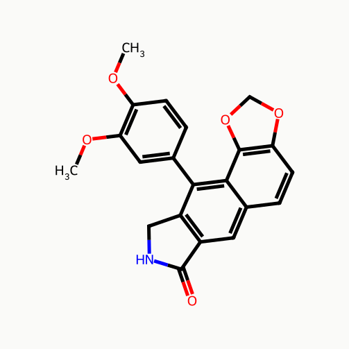 COc1ccc(-c2c3c(cc4ccc5c(c24)OCO5)C(=O)NC3)cc1OC